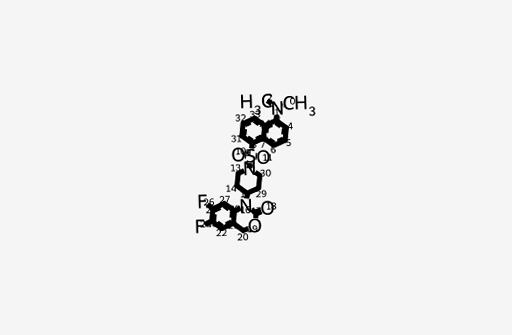 CN(C)c1cccc2c(S(=O)(=O)N3CCC(N4C(=O)OCc5cc(F)c(F)cc54)CC3)cccc12